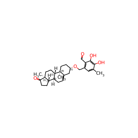 Cc1cc(CO[C@H]2CC[C@@]3(C)C(=CC[C@@H]4[C@@H]3CC[C@]3(C)C(=O)CC[C@@H]43)C2)c(C=O)c(O)c1O